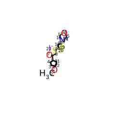 COc1ccc(C(=O)CSc2cc(=[N+]3CCOCC3)ss2)cc1.[I-]